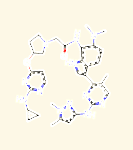 Cc1cnc(Nc2cc(C)n(C)n2)nc1-c1c[nH]c2c(NC(=O)CN3CCC(Oc4ccnc(NC5CC5)n4)C3)c(N(C)C)ccc12